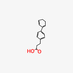 O=C(O)CCc1ccc(C2=CCCC=C2)cc1